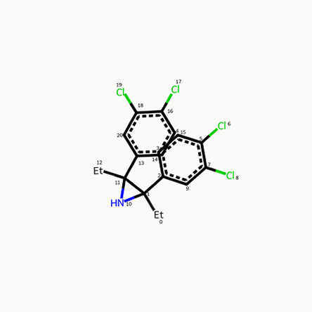 CCC1(c2ccc(Cl)c(Cl)c2)NC1(CC)c1ccc(Cl)c(Cl)c1